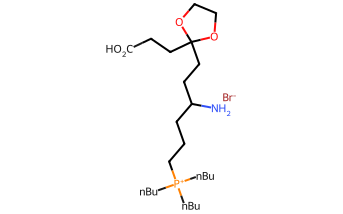 CCCC[P+](CCCC)(CCCC)CCCC(N)CCC1(CCC(=O)O)OCCO1.[Br-]